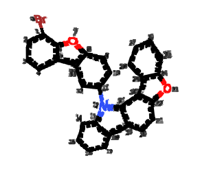 Brc1cccc2c1oc1ccc(-n3c4ccccc4c4ccc5oc6ccccc6c5c43)cc12